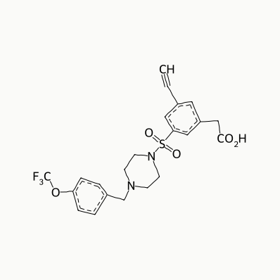 C#Cc1cc(CC(=O)O)cc(S(=O)(=O)N2CCN(Cc3ccc(OC(F)(F)F)cc3)CC2)c1